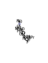 CC(C)Oc1c(F)c(F)cc2nc(Cn3cccc(NC(=O)C(CC/C=C/C(=O)N(C)C)OC(=O)N(C)C)c3=O)[nH]c12